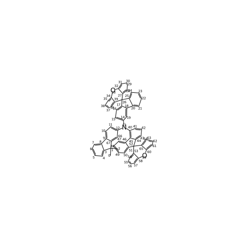 CC1(C)c2ccccc2-c2ccc(N(c3ccc4c(c3)-c3ccccc3C43c4ccccc4Oc4ccccc43)c3cccc4c3-c3ccccc3C43c4ccccc4Oc4ccccc43)cc21